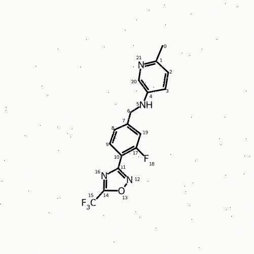 Cc1ccc(NCc2ccc(-c3noc(C(F)(F)F)n3)c(F)c2)cn1